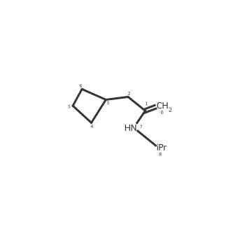 C=C(CC1CCC1)NC(C)C